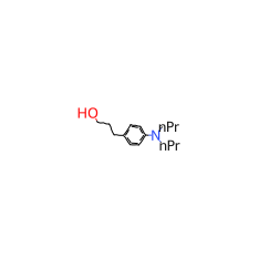 CCCN(CCC)c1ccc(CCCO)cc1